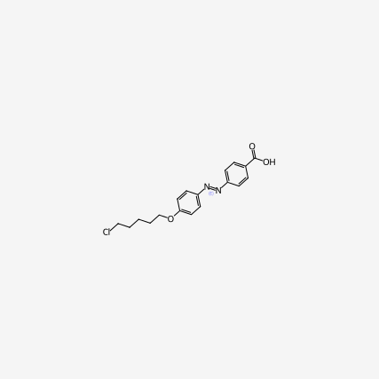 O=C(O)c1ccc(/N=N/c2ccc(OCCCCCCl)cc2)cc1